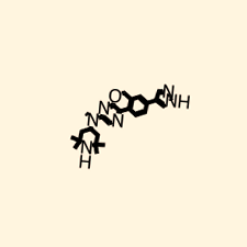 CN(c1cnc2c(n1)OCc1cc(-c3cn[nH]c3)ccc1-2)C1CC(C)(C)NC(C)(C)C1